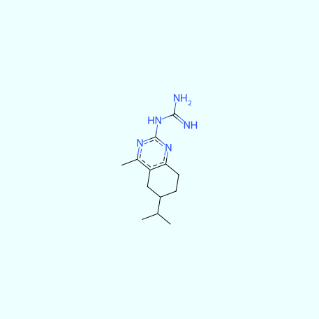 Cc1nc(NC(=N)N)nc2c1CC(C(C)C)CC2